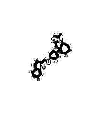 Cc1csc(CC2(c3ccc(OCc4ccc5ccccc5n4)cc3)CCCCCC2)n1